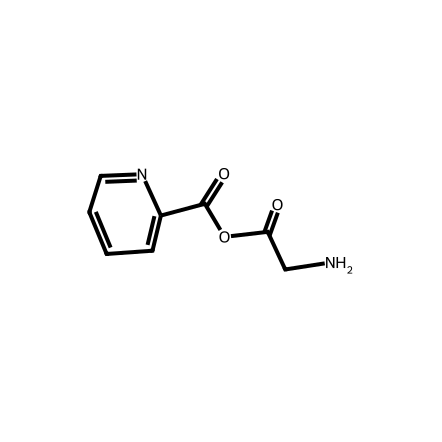 NCC(=O)OC(=O)c1ccccn1